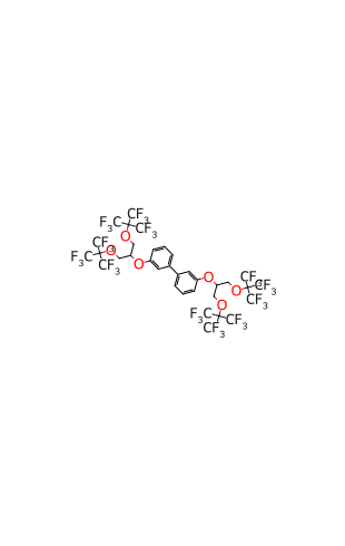 FC(F)(F)C(OCC(COC(C(F)(F)F)(C(F)(F)F)C(F)(F)F)Oc1cccc(-c2cccc(OC(COC(C(F)(F)F)(C(F)(F)F)C(F)(F)F)COC(C(F)(F)F)(C(F)(F)F)C(F)(F)F)c2)c1)(C(F)(F)F)C(F)(F)F